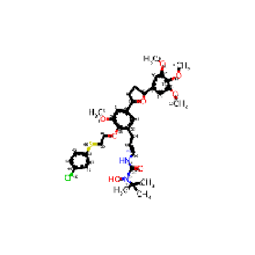 COc1cc(C2CCC(c3cc(OC)c(OC)c(OC)c3)O2)cc(C/C=C/NC(=O)N(O)C(C)(C)C)c1OCCSc1ccc(Cl)cc1